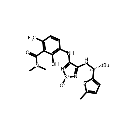 Cc1ccc([C@H](Nc2n[s+]([O-])nc2Nc2ccc(C(F)(F)F)c(C(=O)N(C)C)c2O)C(C)(C)C)s1